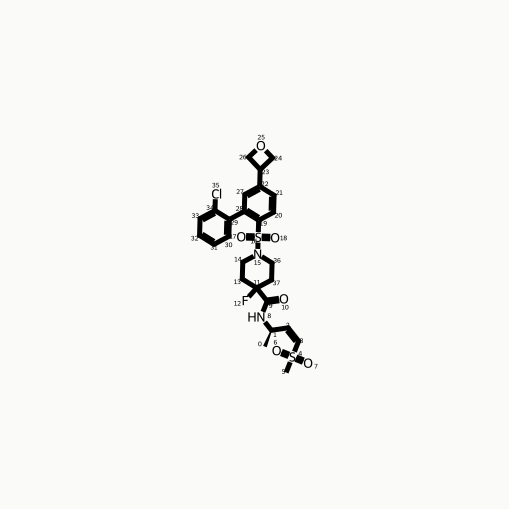 C[C@H](/C=C\S(C)(=O)=O)NC(=O)C1(F)CCN(S(=O)(=O)c2ccc(C3COC3)cc2-c2ccccc2Cl)CC1